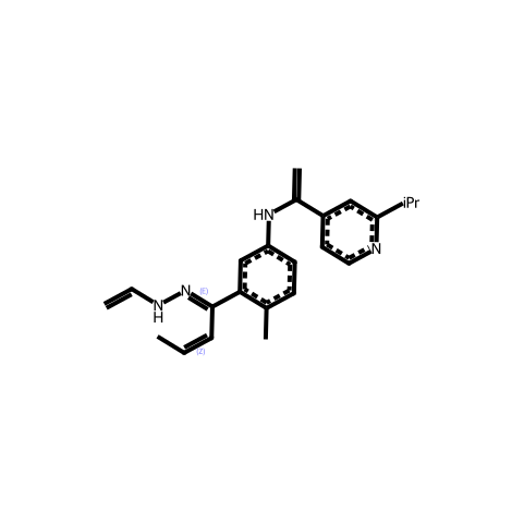 C=CN/N=C(\C=C/C)c1cc(NC(=C)c2ccnc(C(C)C)c2)ccc1C